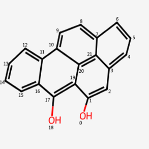 Oc1cc2cccc3ccc4c5ccccc5c(O)c1c4c32